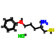 Cl.NC(CS)CCCOc1ccccc1